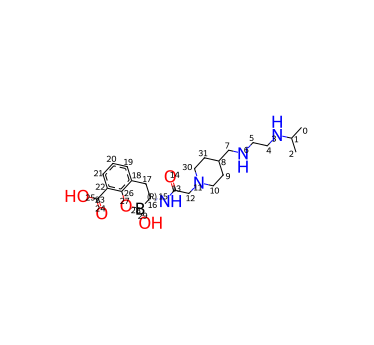 CC(C)NCCNCC1CCN(CC(=O)N[C@H]2Cc3cccc(C(=O)O)c3OB2O)CC1